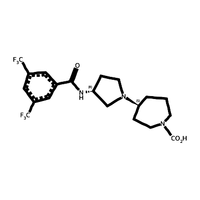 O=C(N[C@@H]1CCN([C@H]2CCCN(C(=O)O)CC2)C1)c1cc(C(F)(F)F)cc(C(F)(F)F)c1